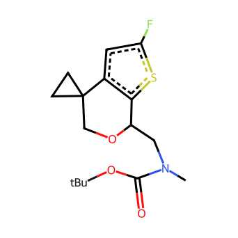 CN(CC1OCC2(CC2)c2cc(F)sc21)C(=O)OC(C)(C)C